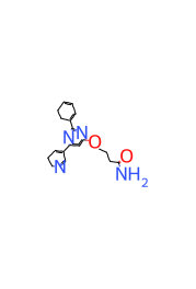 NC(=O)CCCOc1cc(C2=CCCN=C2)nc(C2=CC=CCC2)n1